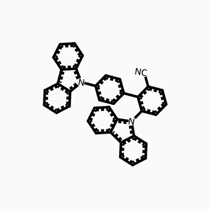 N#Cc1cccc(-n2c3ccccc3c3ccccc32)c1-c1ccc(-n2c3ccccc3c3ccccc32)cc1